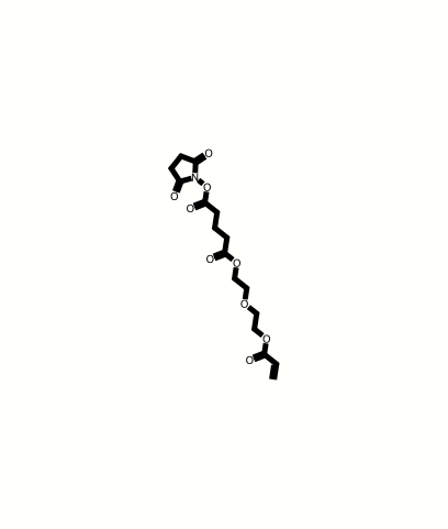 C=CC(=O)OCCOCCOC(=O)CCCC(=O)ON1C(=O)CCC1=O